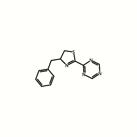 c1ccc(CC2CSC(c3ncncn3)=N2)cc1